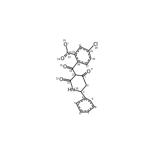 O=C1CC(c2ccccc2)NC(=O)C1C(=O)c1ccc(Cl)cc1[N+](=O)[O-]